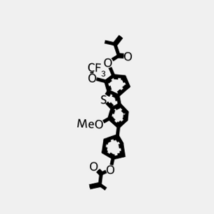 C=C(C)C(=O)Oc1ccc(-c2ccc3c(sc4c(OC(F)(F)F)c(OC(=O)C(=C)C)ccc43)c2OC)cc1